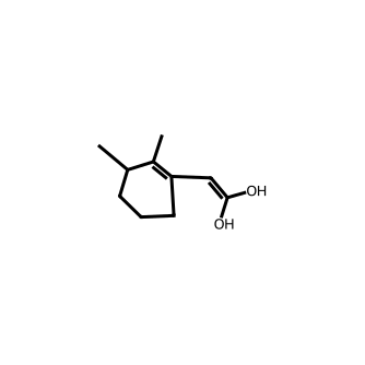 CC1=C(C=C(O)O)CCCC1C